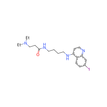 CCN(CC)CCC(=O)NCCCCNc1ccnc2cc(I)ccc12